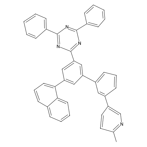 Cc1ccc(-c2cccc(-c3cc(-c4nc(-c5ccccc5)nc(-c5ccccc5)n4)cc(-c4cccc5ccccc45)c3)c2)cn1